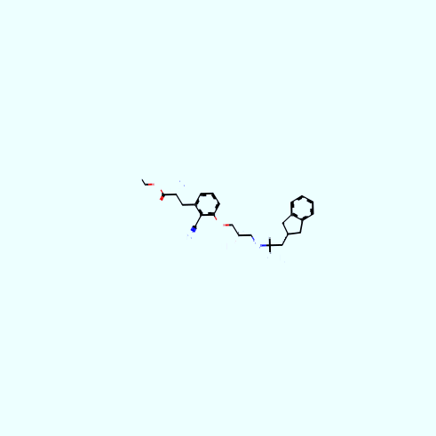 CCOC(=O)[C@H](N)Cc1cccc(OC[C@@H](O)CNC(C)(C)CC2Cc3ccccc3C2)c1C#N